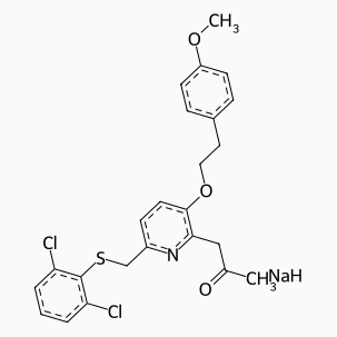 COc1ccc(CCOc2ccc(CSc3c(Cl)cccc3Cl)nc2CC(C)=O)cc1.[NaH]